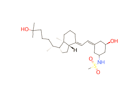 C[C@H](CCCC(C)(C)O)[C@H]1CC[C@H]2/C(=C/C=C3\CC(NS(C)(=O)=O)C[C@H](O)C3)CCC[C@]12C